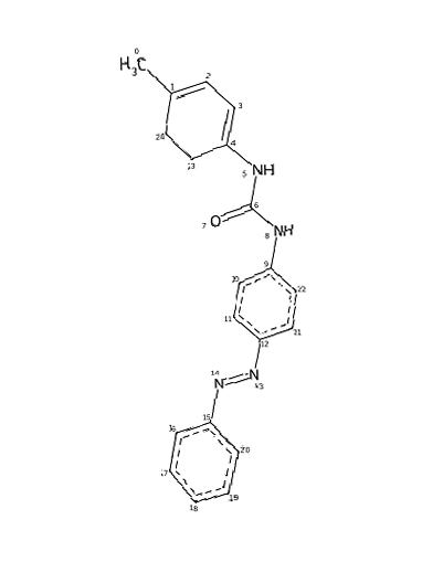 CC1=CC=C(NC(=O)Nc2ccc(N=Nc3ccccc3)cc2)CC1